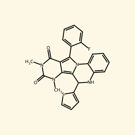 Cn1c(=O)c2c(-c3ccccc3F)n3c(c2n(C)c1=O)C(c1cccs1)Nc1ccccc1-3